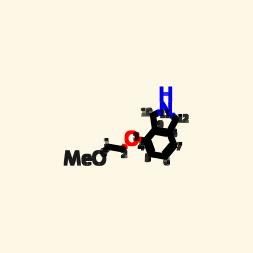 COCCOc1cccc2c1CNC2